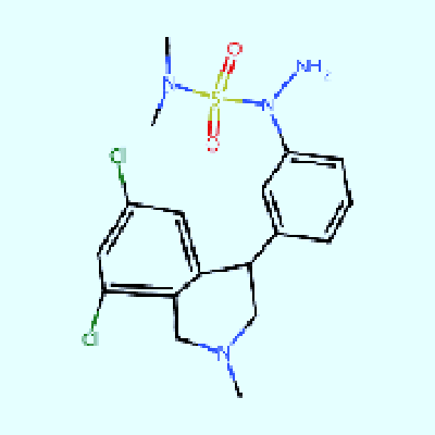 CN1Cc2c(Cl)cc(Cl)cc2C(c2cccc(N(N)S(=O)(=O)N(C)C)c2)C1